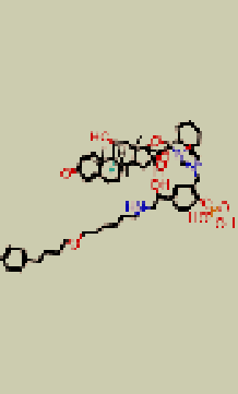 C[C@]12C=CC(=O)C=C1CC[C@H]1[C@@H]3C[C@H]4O[C@@H](C5CCCCC5)O[C@@]4(C(=O)Cn4cc[n+](Cc5cc(C(O)CNCCCCCCOCCCCc6ccccc6)ccc5OP(=O)(O)O)c4)[C@@]3(C)C[C@H](O)[C@@]12F